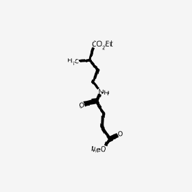 CCOC(=O)C(C)CCNC(=O)CCC(=O)OC